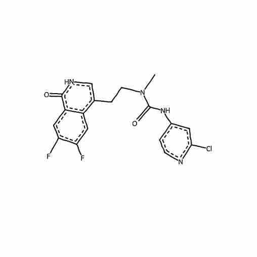 CN(CCc1c[nH]c(=O)c2cc(F)c(F)cc12)C(=O)Nc1ccnc(Cl)c1